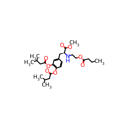 CCCC(=O)OCCN[C@@H](Cc1ccc(OC(=O)CC(C)C)c(OC(=O)CC(C)C)c1)C(=O)OC